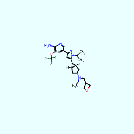 CC(C)n1nc(-c2cnc(N)c(OC(F)(F)F)c2)cc1[C@H]1[C@@H]2C[C@H](N(C)CC3COC3)C[C@@H]21